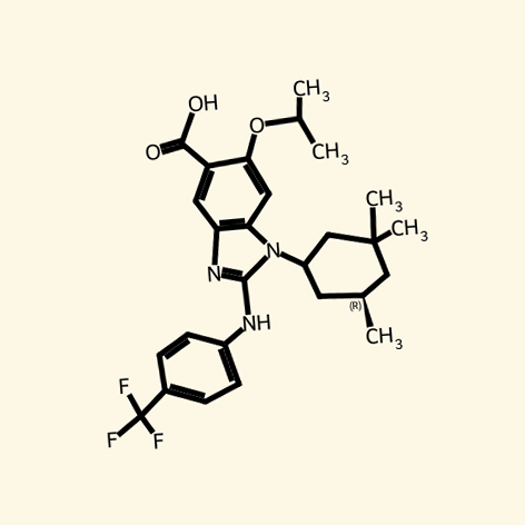 CC(C)Oc1cc2c(cc1C(=O)O)nc(Nc1ccc(C(F)(F)F)cc1)n2C1C[C@H](C)CC(C)(C)C1